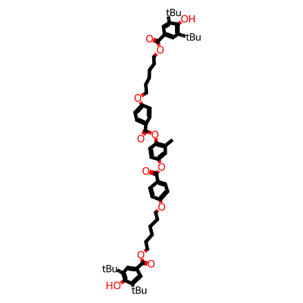 Cc1cc(OC(=O)c2ccc(OCCCCCCOC(=O)c3cc(C(C)(C)C)c(O)c(C(C)(C)C)c3)cc2)ccc1OC(=O)c1ccc(OCCCCCCOC(=O)c2cc(C(C)(C)C)c(O)c(C(C)(C)C)c2)cc1